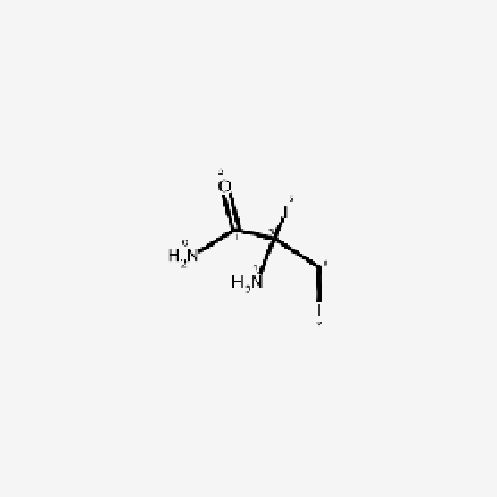 NC(=O)C(N)(I)CI